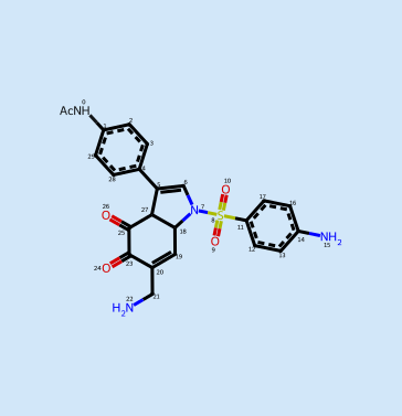 CC(=O)Nc1ccc(C2=CN(S(=O)(=O)c3ccc(N)cc3)C3C=C(CN)C(=O)C(=O)C23)cc1